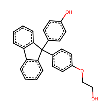 OCCOc1ccc(C2(c3ccc(O)cc3)c3ccccc3-c3ccccc32)cc1